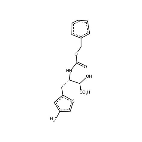 Cc1csc(C[C@H](NC(=O)OCc2ccccc2)[C@@H](O)C(=O)O)c1